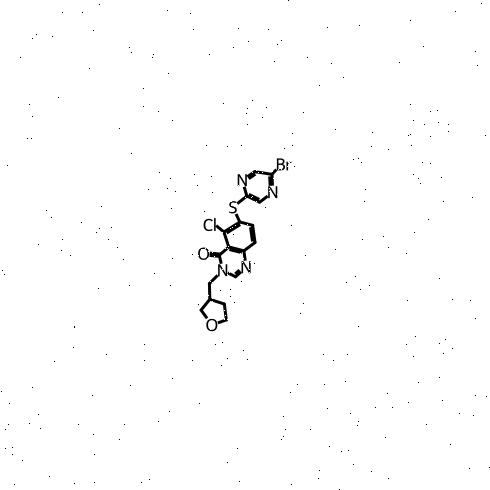 O=c1c2c(Cl)c(Sc3cnc(Br)cn3)ccc2ncn1CC1CCOC1